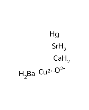 [BaH2].[CaH2].[Cu+2].[Hg].[O-2].[SrH2]